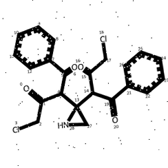 O=C(CCl)C(C(=O)c1ccccc1)C1(C(C(=O)CCl)C(=O)c2ccccc2)CN1